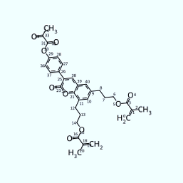 C=C(C)C(=O)OCCCc1cc(CCCOC(=O)C(=C)C)c2oc(=O)c(-c3ccc(OC(=O)C(C)=O)cc3)cc2c1